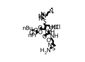 CCCCC(=O)OC(CCC)OC(=O)C1=C(CSc2nnnn2CCN(C)C)CS[C@H]2[C@H](NC(=O)Cc3csc(N)n3)C(=O)N12.Cl.Cl